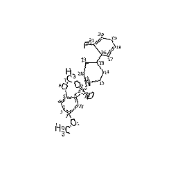 COc1ccc(OC)c(S(=O)(=O)N2CCC(C3C=CCC=C3F)CC2)c1